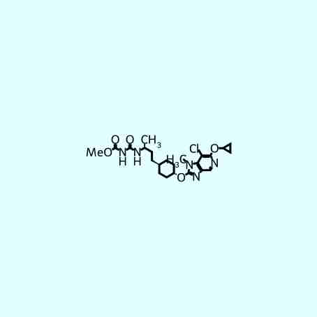 COC(=O)NC(=O)N[C@@H](C)CC[C@H]1CC[C@H](Oc2nc3cnc(OC4CC4)c(Cl)c3n2C)CC1